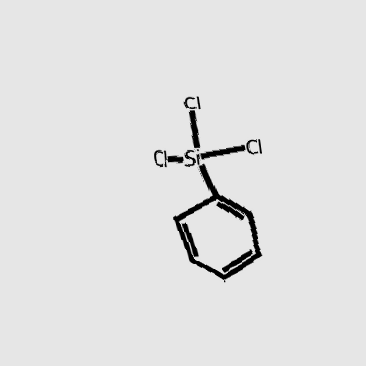 Cl[Si](Cl)(Cl)c1cc[c]cc1